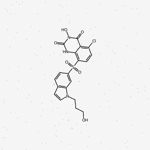 O=c1[nH]c2c(S(=O)(=O)c3ccc4ccn(CCCO)c4c3)ccc(Cl)c2c(=O)n1O